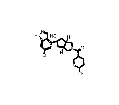 O=C(C1CCC(O)CC1)N1C[C@@H]2C[C@@](O)(c3cc(Cl)cc4[nH]ncc34)C[C@@H]2C1